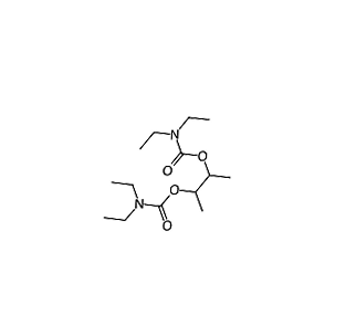 CCN(CC)C(=O)OC(C)C(C)OC(=O)N(CC)CC